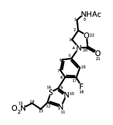 CC(=O)NCC1CN(c2ccc(-c3nnc(CC[N+](=O)[O-])s3)c(F)c2)C(=O)O1